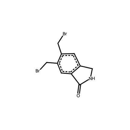 O=C1NCc2cc(CBr)c(CBr)cc21